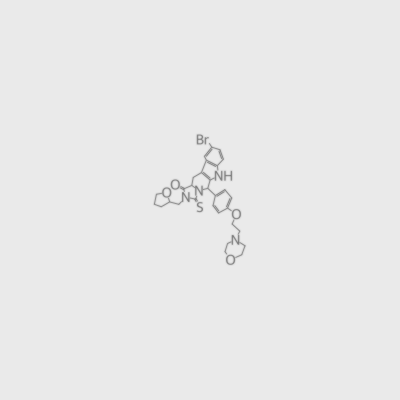 O=C1C2Cc3c([nH]c4ccc(Br)cc34)C(c3ccc(OCCN4CCOCC4)cc3)N2C(=S)N1CC1CCCO1